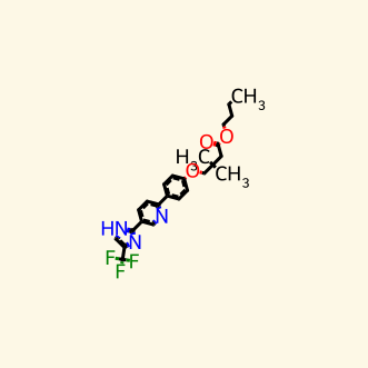 CCCCOC(=O)CC(C)(C)COc1ccc(-c2ccc(-c3nc(C(F)(F)F)c[nH]3)cn2)cc1